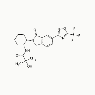 CC(C)(O)C(=O)N[C@@H]1CCCC[C@H]1N1Cc2ccc(-c3noc(C(F)(F)F)n3)cc2C1=O